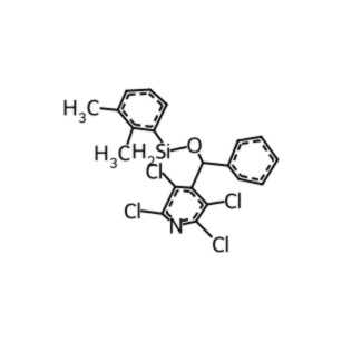 Cc1cccc([SiH2]OC(c2ccccc2)c2c(Cl)c(Cl)nc(Cl)c2Cl)c1C